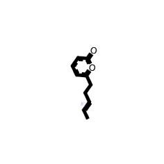 C/C=C/CCc1cccc(=O)o1